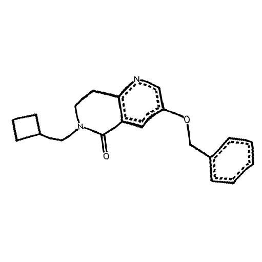 O=C1c2cc(OCc3ccccc3)cnc2CCN1CC1CCC1